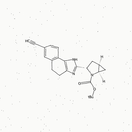 C#Cc1ccc2c(c1)CCc1nc([C@@H]3C[C@H]4C[C@H]4N3C(=O)OC(C)(C)C)[nH]c1-2